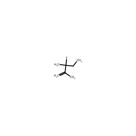 C=C(C)C(C)(F)CC